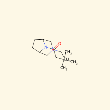 CCN1CC2CCC(C1)N2C(=O)CC(C)(C)C